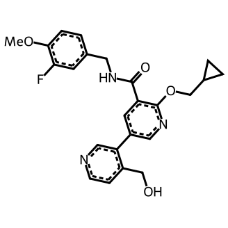 COc1ccc(CNC(=O)c2cc(-c3cnccc3CO)cnc2OCC2CC2)cc1F